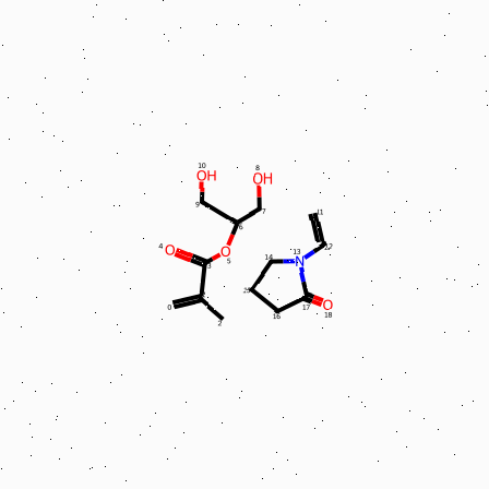 C=C(C)C(=O)OC(CO)CO.C=CN1CCCC1=O